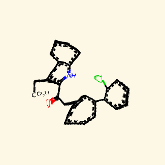 O=C(O)Cc1c(C(=O)c2cccc(-c3ccccc3Cl)c2)[nH]c2ccccc12